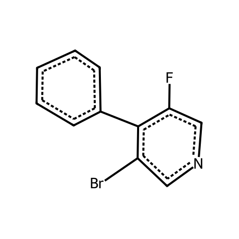 Fc1cncc(Br)c1-c1ccccc1